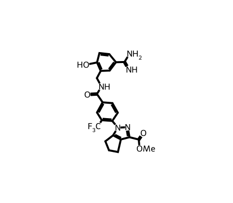 COC(=O)c1nn(-c2ccc(C(=O)NCc3cc(C(=N)N)ccc3O)cc2C(F)(F)F)c2c1CCC2